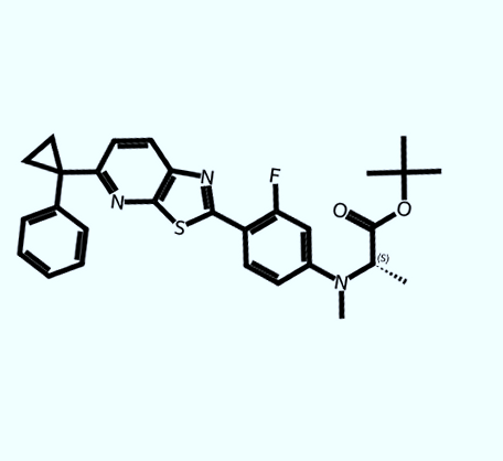 C[C@@H](C(=O)OC(C)(C)C)N(C)c1ccc(-c2nc3ccc(C4(c5ccccc5)CC4)nc3s2)c(F)c1